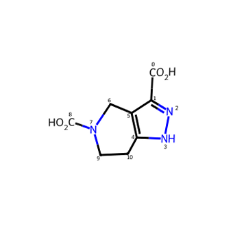 O=C(O)c1n[nH]c2c1CN(C(=O)O)CC2